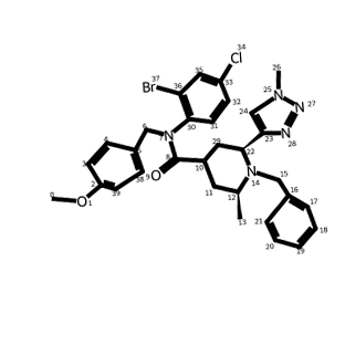 COc1ccc(CN(C(=O)C2C[C@H](C)N(Cc3ccccc3)[C@H](c3cn(C)nn3)C2)c2ccc(Cl)cc2Br)cc1